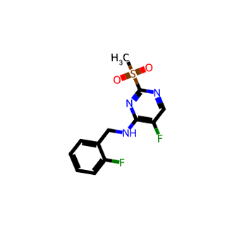 CS(=O)(=O)c1ncc(F)c(NCc2ccccc2F)n1